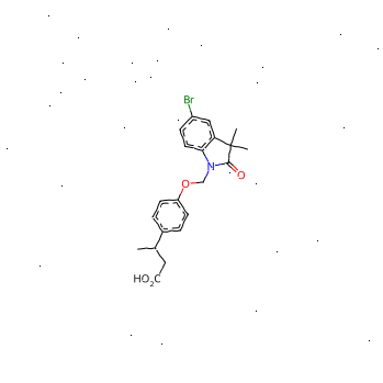 CC(CC(=O)O)c1ccc(OCN2C(=O)C(C)(C)c3cc(Br)ccc32)cc1